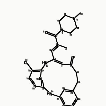 C=C1/C=C(\C=C(/C)C(=O)N2CCN(C)CC2)Nc2nc(ncc2Cl)Nc2cccc(c2)CC1